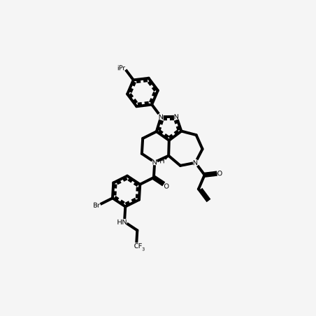 C=CC(=O)N1CCc2nn(-c3ccc(C(C)C)cc3)c3c2[C@H](C1)N(C(=O)c1ccc(Br)c(NCC(F)(F)F)c1)CC3